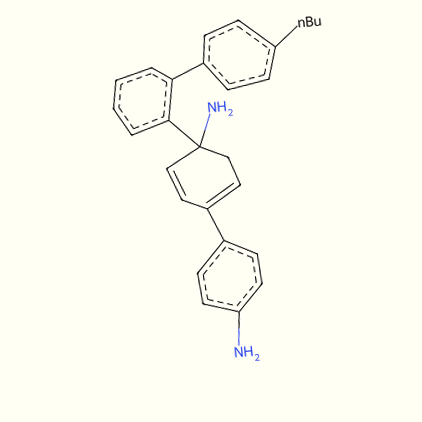 CCCCc1ccc(-c2ccccc2C2(N)C=CC(c3ccc(N)cc3)=CC2)cc1